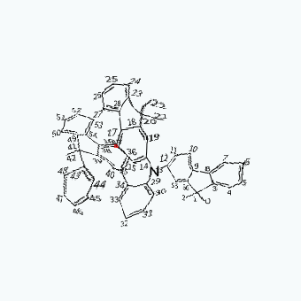 CC1(C)c2ccccc2-c2ccc(N(c3ccc4c(c3)C(C)(C)c3ccccc3-4)c3ccccc3-c3ccc4c(c3)C(C)(c3ccccc3)c3ccccc3-4)cc21